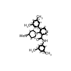 CNC1CCN(c2c(C(=O)Nc3cc(C)cc(C)c3)cncc2-c2cc(C)cc(C)c2)CC1